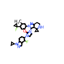 Cc1cc(-n2nc3c(c2-n2ccn(-c4ccc5c(cnn5C5CC5)c4F)c2=O)C2(CC2)NCC3)ccc1C1(F)CC1